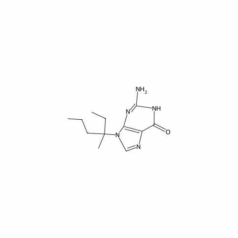 CCCC(C)(CC)n1cnc2c(=O)[nH]c(N)nc21